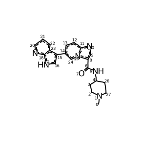 CN1CCC(NC(=O)c2cnc3ccc(-c4c[nH]c5ncccc45)cn23)CC1